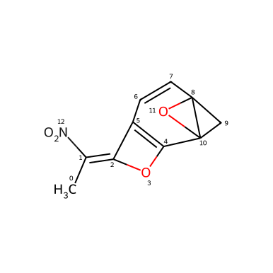 CC(=C1OC2=C1C=CC13CC21O3)[N+](=O)[O-]